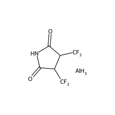 O=C1NC(=O)C(C(F)(F)F)C1C(F)(F)F.[AlH3]